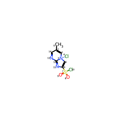 CC1=C[N+]2(Cl)C=C(S(=O)(=O)Cl)N=C2N=C1